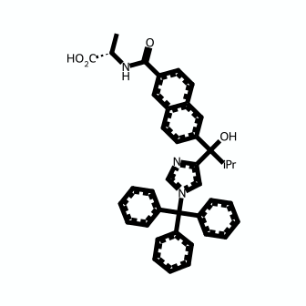 CC(C)C(O)(c1ccc2cc(C(=O)N[C@@H](C)C(=O)O)ccc2c1)c1cn(C(c2ccccc2)(c2ccccc2)c2ccccc2)cn1